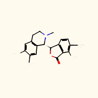 COc1cc2c(cc1OC)[C@H](C1OC(=O)c3c1ccc(OC)c3OC)N(C)CC2